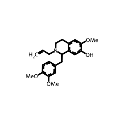 C=CCN1CCc2cc(OC)c(O)cc2C1Cc1ccc(OC)c(OC)c1